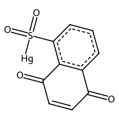 O=C1C=CC(=O)c2c1cccc2[S](=O)(=O)[Hg]